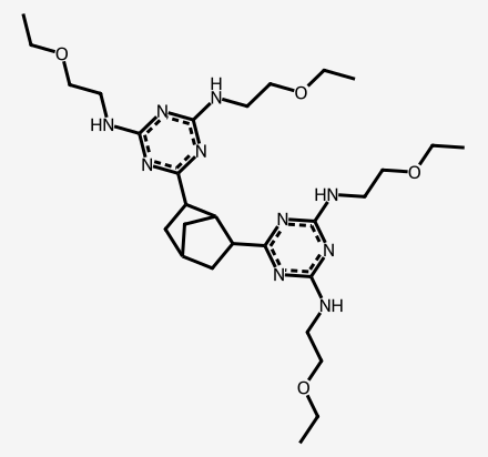 CCOCCNc1nc(NCCOCC)nc(C2CC3CC(c4nc(NCCOCC)nc(NCCOCC)n4)C2C3)n1